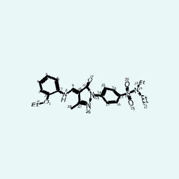 CCOc1ccccc1NC=C1C(=O)N(c2ccc(S(=O)(=O)N(CC)CC)cc2)N=C1C